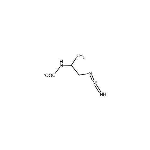 CC(CN=[N+]=N)NC(=O)[O-]